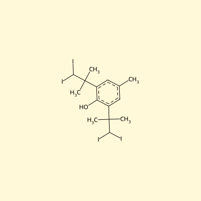 Cc1cc(C(C)(C)C(I)I)c(O)c(C(C)(C)C(I)I)c1